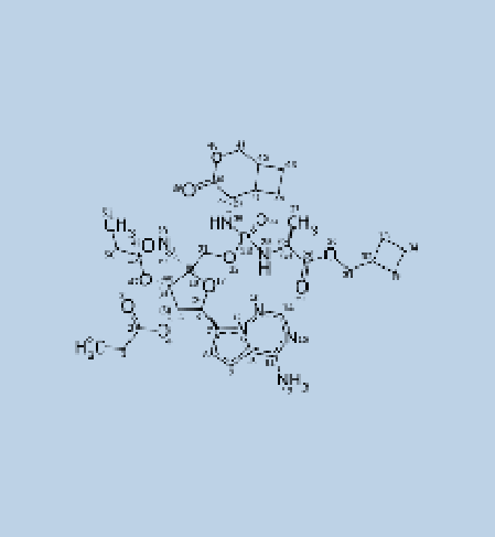 CCC(=O)O[C@H]1[C@H](c2ccc3c(N)ncnn23)O[C@](C#N)(COP(=O)(N[C@@H](C)C(=O)OCC2CCC2)N[C@@H]2C(=O)OCC3CCC32)[C@H]1OC(=O)CC